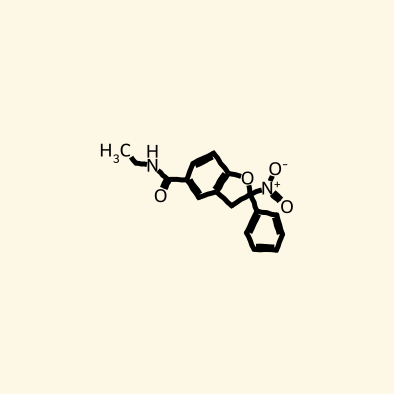 CCNC(=O)c1ccc2c(c1)CC(c1ccccc1)([N+](=O)[O-])O2